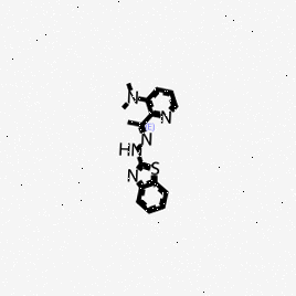 C/C(=N\Nc1nc2ccccc2s1)c1ncccc1N(C)C